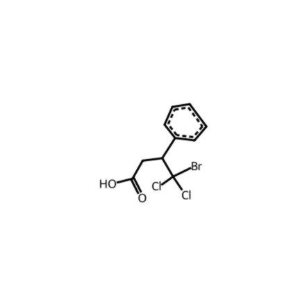 O=C(O)CC(c1ccccc1)C(Cl)(Cl)Br